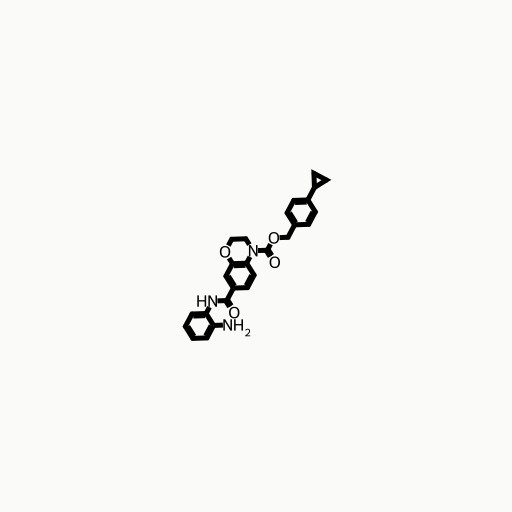 Nc1ccccc1NC(=O)c1ccc2c(c1)OCCN2C(=O)OCc1ccc(C2CC2)cc1